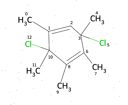 CC1=CC(C)(Cl)C(C)=C(C)C1(C)Cl